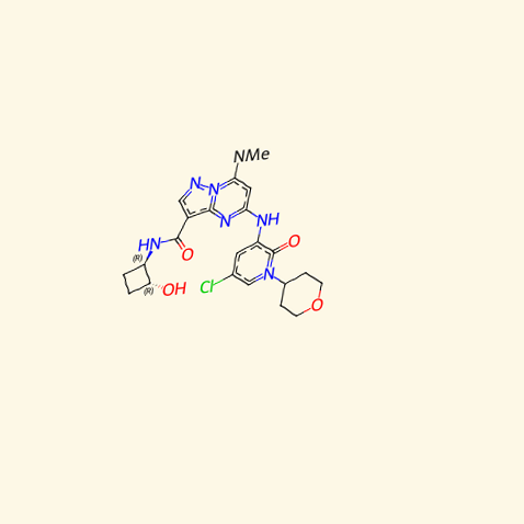 CNc1cc(Nc2cc(Cl)cn(C3CCOCC3)c2=O)nc2c(C(=O)N[C@@H]3CC[C@H]3O)cnn12